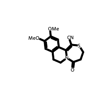 COc1cc2c(cc1OC)C1=C(C#N)SCCC(=O)N1CC2